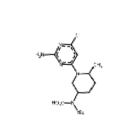 CC1CCC(N(C(=O)O)C(C)(C)C)CN1c1cc(Cl)nc(N)n1